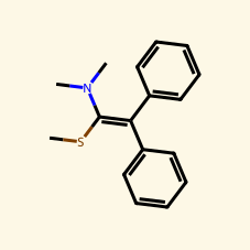 CSC(=C(c1ccccc1)c1ccccc1)N(C)C